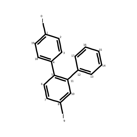 Ic1ccc(-c2ccc(I)cc2-c2ccccc2)cc1